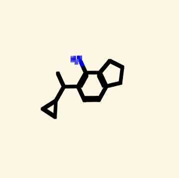 CC(c1ccc2c(c1N)CCC2)C1CC1